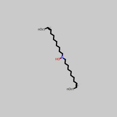 CCCCCCCC/C=C\CCCCCCCCN(O)CCCCCCCC/C=C\CCCCCCCC